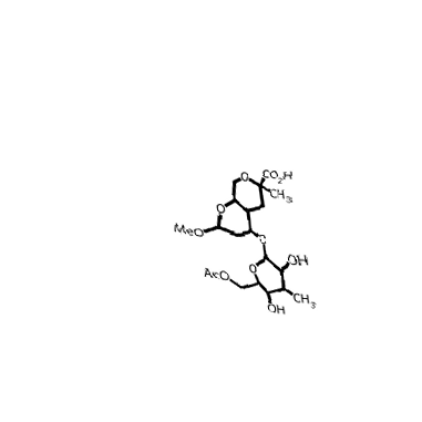 COC1CC(OC2OC(COC(C)=O)C(O)C(C)C2O)C2CC(C)(C(=O)O)OCC2O1